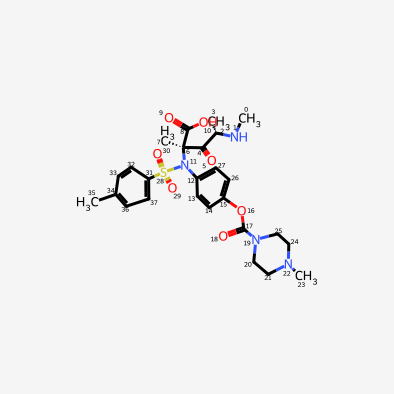 CN[C@@H](C)C(=O)[C@](C)(C(=O)O)N(c1ccc(OC(=O)N2CCN(C)CC2)cc1)S(=O)(=O)c1ccc(C)cc1